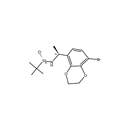 C[C@H](N[S@@+]([O-])C(C)(C)C)c1ccc(Br)c2c1OCCO2